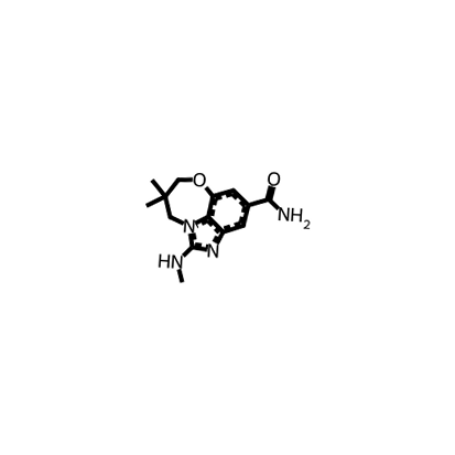 CNc1nc2cc(C(N)=O)cc3c2n1CC(C)(C)CO3